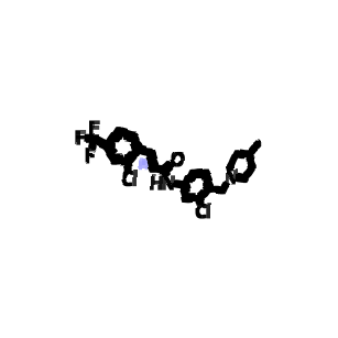 CC1CCN(Cc2ccc(NC(=O)/C=C/c3ccc(C(F)(F)F)cc3Cl)cc2Cl)CC1